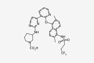 Cc1ccc2c(Oc3ncccc3-c3ccnc(NC4CCCN(C(=O)O)C4)n3)c(C)ccc2c1NS(=O)(=O)CCC(F)(F)F